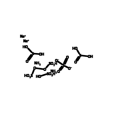 N.N.O=S(=O)(O)O.O=S(=O)(O)OOS(=O)(=O)O.O=S(=O)([O-])[O-].O=S(O)O.O=S(O)O.[Na+].[Na+]